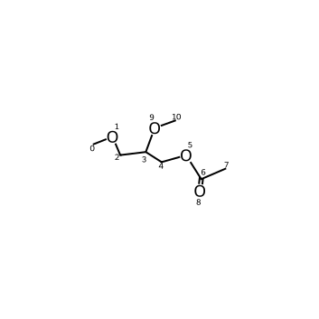 COCC(COC(C)=O)OC